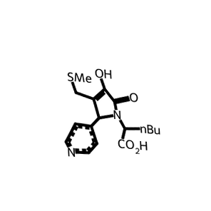 CCCCC(C(=O)O)N1C(=O)C(O)=C(CSC)C1c1ccncc1